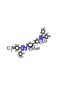 COc1cc(-c2ccc(-[n+]3nc(-c4ccccc4)n(-c4ccc([N+](=O)[O-])cc4)n3)c(OC)c2)ccc1-[n+]1nc(-c2ccccc2)n(-c2ccc(C)cc2)n1